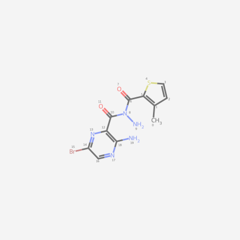 Cc1ccsc1C(=O)N(N)C(=O)c1nc(Br)cnc1N